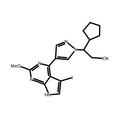 COc1nc(-c2cnn(C(CC#N)C3CCCC3)c2)c2c(I)c[nH]c2n1